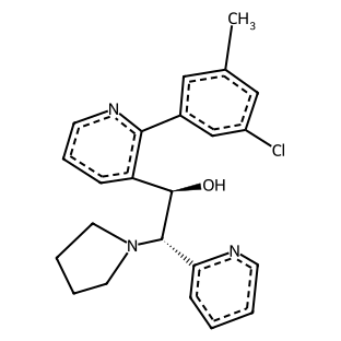 Cc1cc(Cl)cc(-c2ncccc2[C@@H](O)[C@H](c2ccccn2)N2CCCC2)c1